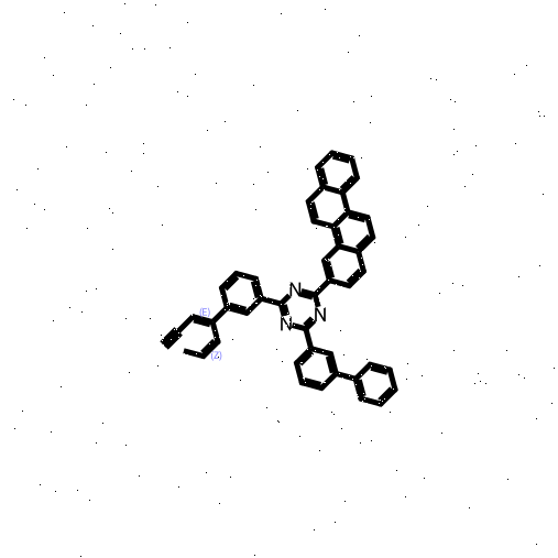 C#C/C=C(\C=C/C)c1cccc(-c2nc(-c3cccc(-c4ccccc4)c3)nc(-c3ccc4ccc5c6ccccc6ccc5c4c3)n2)c1